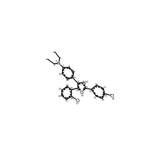 CCN(CC)c1ccc(-c2nc(-c3ccc(Cl)cc3)oc2-c2ccccc2Cl)cc1